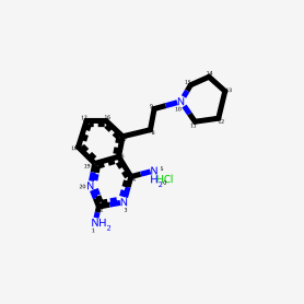 Cl.Nc1nc(N)c2c(CCN3CCCCC3)cccc2n1